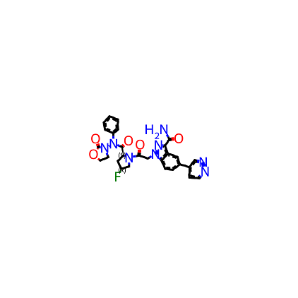 NC(=O)c1nn(CC(=O)N2C[C@H](F)C[C@H]2C(=O)N(c2ccccc2)N2CCOC2=O)c2ccc(-c3ccnnc3)cc12